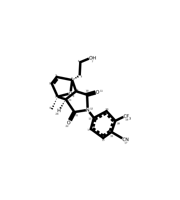 C[C@]12C=C[C@](CCO)(O1)C1C(=O)N(c3ccc(C#N)c(C(F)(F)F)c3)C(=O)[C@H]12